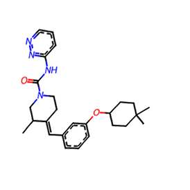 CC1CN(C(=O)Nc2cccnn2)CC/C1=C\c1cccc(OC2CCC(C)(C)CC2)c1